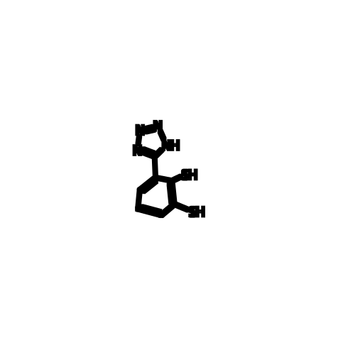 Sc1cccc(-c2nnn[nH]2)c1S